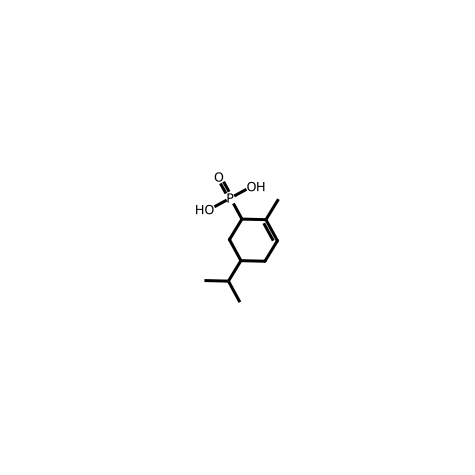 CC1=CCC(C(C)C)CC1P(=O)(O)O